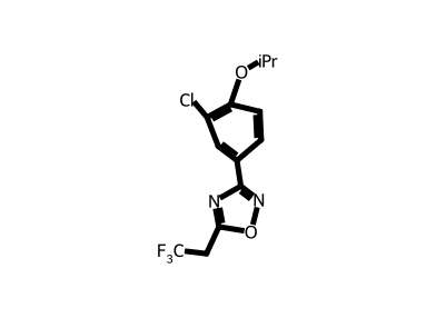 CC(C)Oc1ccc(-c2noc(CC(F)(F)F)n2)cc1Cl